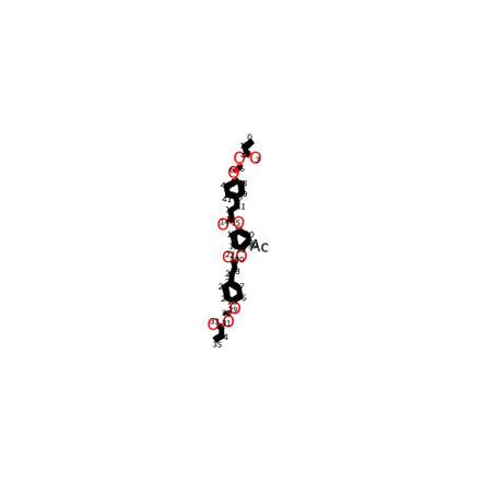 C=CC(=O)OCOc1ccc(CCC(=O)Oc2ccc(OC(=O)CCc3ccc(OCOC(=O)C=C)cc3)c(C(C)=O)c2)cc1